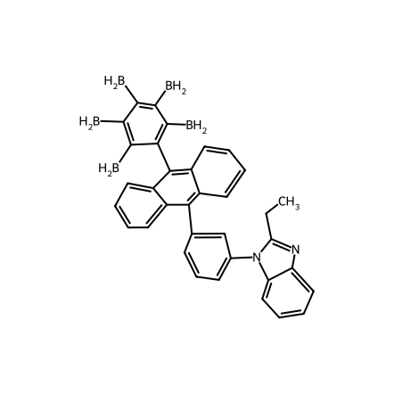 Bc1c(B)c(B)c(-c2c3ccccc3c(-c3cccc(-n4c(CC)nc5ccccc54)c3)c3ccccc23)c(B)c1B